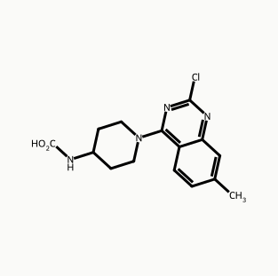 Cc1ccc2c(N3CCC(NC(=O)O)CC3)nc(Cl)nc2c1